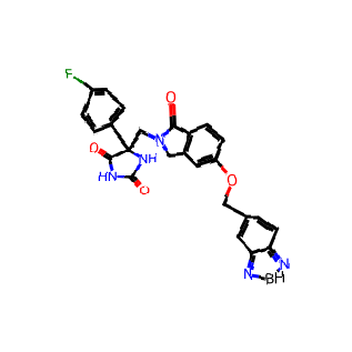 O=C1NC(=O)C(CN2Cc3cc(OCc4ccc5c(c4)=NBN=5)ccc3C2=O)(c2ccc(F)cc2)N1